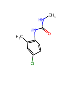 CNC(=O)Nc1ccc(Cl)cc1C